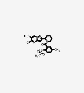 Cc1ccc(NS(C)(=O)=O)c(C(=O)N2CCCCC2c2cc3nc(Cl)c(C)cn3n2)c1